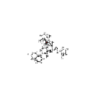 Cc1ccc2c(-c3ncc4c(N5C[C@H]6CC[C@@H](C5)N6C(=O)O)nc(OC[C@@H]5CCCN5C)nc4c3F)cccc2c1